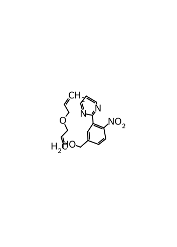 C=CCOCC=C.O=[N+]([O-])c1ccc(CO)cc1-c1ncccn1